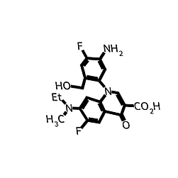 CCN(C)c1cc2c(cc1F)c(=O)c(C(=O)O)cn2-c1cc(N)c(F)cc1CO